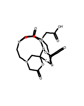 O=C(O)CN1CCN2CCN3CC(=O)OC4(CN(CC1)CC(=O)ON4OC(=O)C2)C3